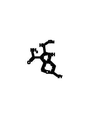 CC(C)c1ccc2c(C(N)=O)c(NC(C)(C)C)[nH]c2c1